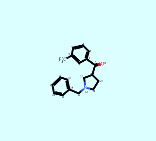 O=C(c1cccc(C(F)(F)F)c1)C1CCN(Cc2ccccc2)C1